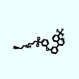 N#CCCNCCCS(=O)(=O)c1cccc(Oc2cccc(-c3ccnc4c(C(F)(F)F)cccc34)c2)c1